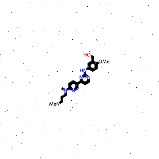 CNCCCN(C)c1ccc(-c2ccnc(Nc3ccc(OC)c(CO)c3)n2)cn1